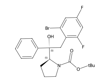 CC(C)(C)OC(=O)N1CCC[C@H]1[C@](O)(Cc1c(F)cc(F)cc1Br)c1ccccc1